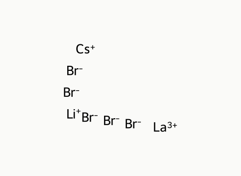 [Br-].[Br-].[Br-].[Br-].[Br-].[Cs+].[La+3].[Li+]